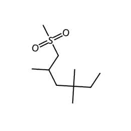 CCC(C)(C)CC(C)CS(C)(=O)=O